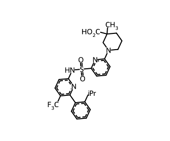 CC(C)c1ccccc1-c1nc(NS(=O)(=O)c2cccc(N3CCCC(C)(C(=O)O)C3)n2)ccc1C(F)(F)F